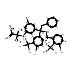 CC(C)(Oc1cc(F)cc(C(Cc2ccccc2)(NC(=O)c2cccc(F)c2C(F)(F)F)c2ccc(F)c(C(F)(F)F)c2)c1)C(=O)O